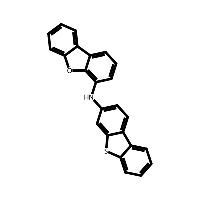 c1ccc2c(c1)oc1c(Nc3ccc4c(c3)sc3ccccc34)cccc12